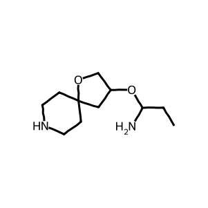 CCC(N)OC1COC2(CCNCC2)C1